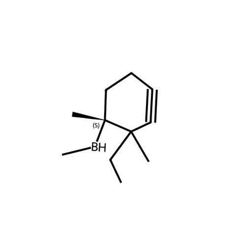 CB[C@]1(C)CCC#CC1(C)CC